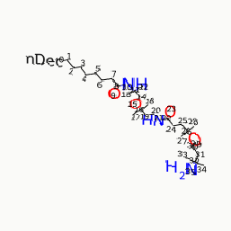 CCCCCCCCCCCCCCCCCC(=O)NC(C)(C)COC(C)(C)CCNC(=O)CCC(C)(C)OCCC(C)(C)N